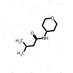 CC(C)CC(=O)NC1CCOCC1